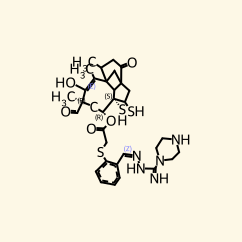 C/C1=C(\O)[C@](C)(C=O)C[C@@H](OC(=O)CSc2ccccc2/C=N\NC(=N)N2CCNCC2)[C@]2(S)C(S)CC34CC1(C(C)CC3=O)C42